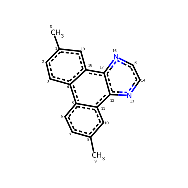 Cc1ccc2c3ccc(C)cc3c3nccnc3c2c1